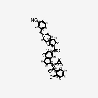 N#Cc1cccc(CN2CCC3(CC2)CCN(C(=O)c2ccc4c(c2)C(N(C(=O)c2ccccc2Cl)C2CC2)CC4)C3)c1